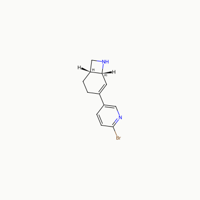 Brc1ccc(C2=C[C@H]3NC[C@H]3CC2)cn1